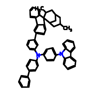 CC1CC2CC(C)C3(c4ccccc4-c4cc(-c5cccc(N(c6ccc(-c7ccccc7)cc6)c6ccc(-n7c8ccccc8c8ccccc87)cc6)c5)ccc43)C(C1)C2